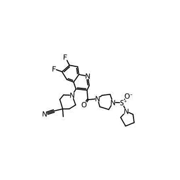 CC1(C#N)CCN(c2c(C(=O)N3CCN([S+]([O-])N4CCCC4)CC3)cnc3cc(F)c(F)cc23)CC1